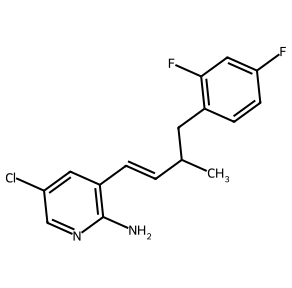 CC(/C=C/c1cc(Cl)cnc1N)Cc1ccc(F)cc1F